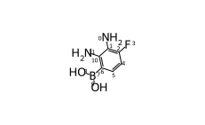 Nc1c(F)ccc(B(O)O)c1N